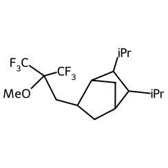 COC(CC1CC2CC1C(C(C)C)C2C(C)C)(C(F)(F)F)C(F)(F)F